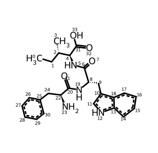 CC[C@H](C)[C@H](NC(=O)[C@H](Cc1c[nH]c2ccccc12)NC(=O)[C@@H](N)Cc1ccccc1)C(=O)O